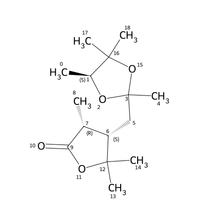 C[C@@H]1OC(C)(C[C@H]2[C@@H](C)C(=O)OC2(C)C)OC1(C)C